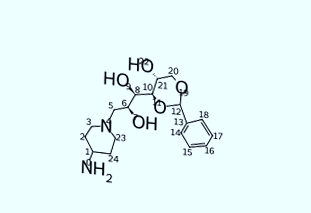 NC1CCN(C[C@H](O)[C@@H](O)[C@@H]2OC(c3ccccc3)OC[C@H]2O)CC1